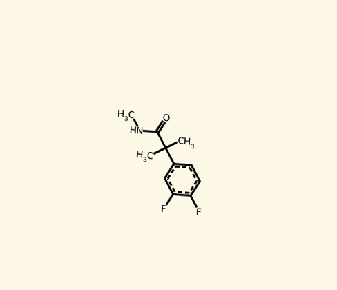 CNC(=O)C(C)(C)c1ccc(F)c(F)c1